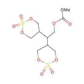 COC(=O)OCC(C1COS(=O)(=O)OC1)C1COS(=O)(=O)OC1